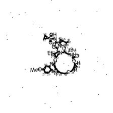 CC[C@@H]1[C@@H]2CN(C(=O)[C@H](C(C)(C)C)NC(=O)O[C@@H]3C[C@H]3CCCCC(F)(F)c3nc4ccc(OC)cc4nc3O2)[C@@H]1C(=O)NC1(C(=O)NS(=O)(=O)C2CC2)CC1C(F)F